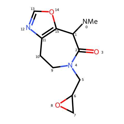 CNC1C(=O)N(CC2CO2)CCc2ncoc21